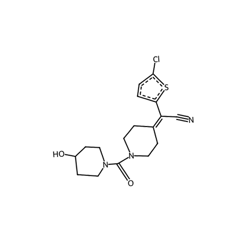 N#CC(=C1CCN(C(=O)N2CCC(O)CC2)CC1)c1ccc(Cl)s1